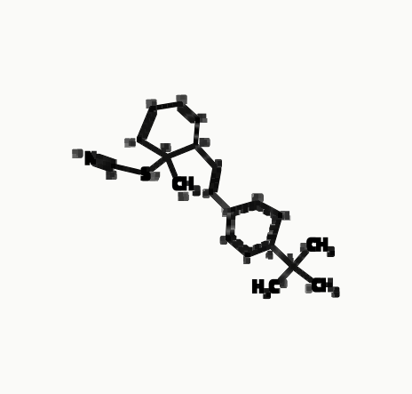 CC(C)(C)c1ccc(/C=C/C2C=CC=CC2(C)SC#N)cc1